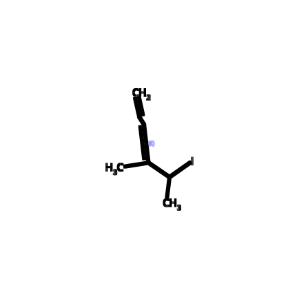 C=C/C=C(\C)C(C)I